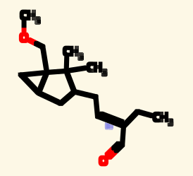 CC/C(C=O)=C\CC1CC2CC2(COC)C1(C)C